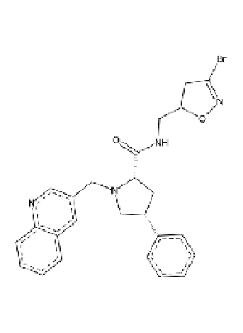 O=C(NCC1CC(Br)=NO1)[C@@H]1C[C@H](c2ccccc2)CN1Cc1cnc2ccccc2c1